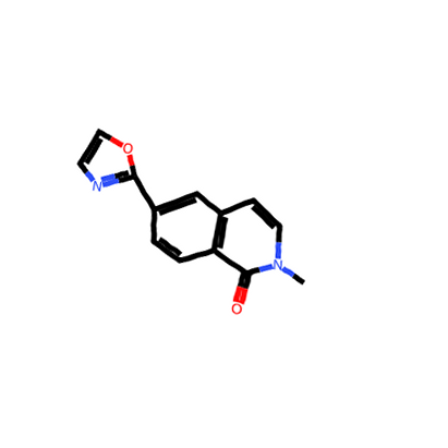 Cn1ccc2cc(-c3ncco3)ccc2c1=O